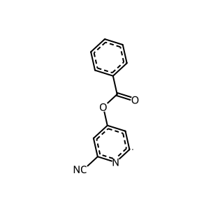 N#Cc1cc(OC(=O)c2ccccc2)c[c]n1